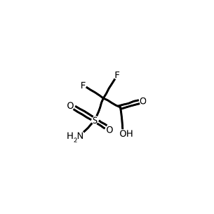 NS(=O)(=O)C(F)(F)C(=O)O